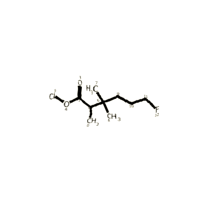 CC(C(=O)OCl)C(C)(C)CCCF